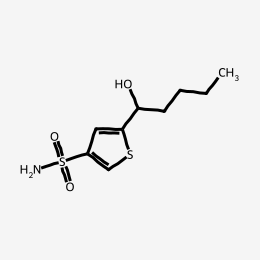 CCCCC(O)c1cc(S(N)(=O)=O)cs1